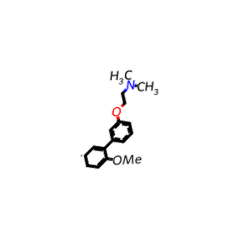 COC1=CC[CH]C=C1c1cccc(OCCN(C)C)c1